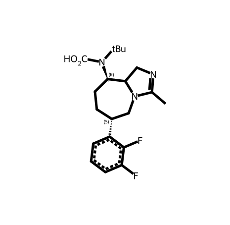 CC1=NCC2[C@H](N(C(=O)O)C(C)(C)C)CC[C@@H](c3cccc(F)c3F)CN12